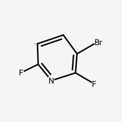 Fc1[c]cc(Br)c(F)n1